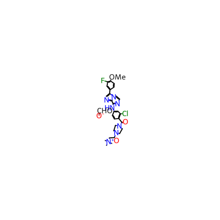 COc1ccc(-c2cnc3c(Nc4ccc(C(=O)N5CCN(C(=O)C[N+](C)(C)C)CC5)c(Cl)c4)nccn23)cc1F.O=C[O-]